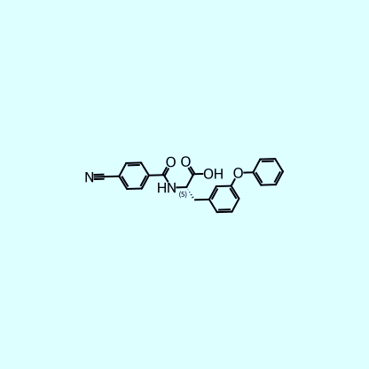 N#Cc1ccc(C(=O)N[C@@H](Cc2cccc(Oc3ccccc3)c2)C(=O)O)cc1